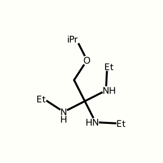 CCNC(COC(C)C)(NCC)NCC